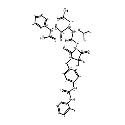 Cc1ccccc1NC(=O)Nc1ccc(CN2C(=O)N([C@@H](CC(C)C)C(=O)N[C@@H](CC(=O)O)C(=O)N[C@H](C(=O)O)c3ccccc3)C(=O)C2(C)C)cc1